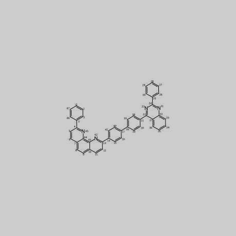 c1ccc(-c2ccc3ccc4ccc(-c5ccc(-c6ccc(-c7nc(-c8ccccc8)nc8ccccc78)cc6)cc5)nc4c3n2)cc1